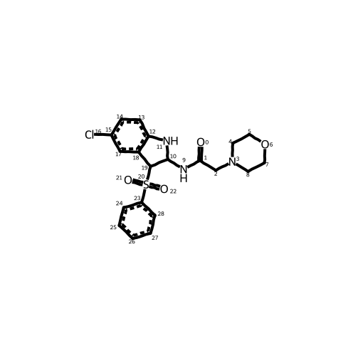 O=C(CN1CCOCC1)NC1Nc2ccc(Cl)cc2C1S(=O)(=O)c1ccccc1